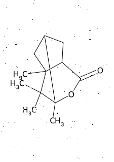 CC12CC3CC1C(=O)OC3(C)C2(C)C